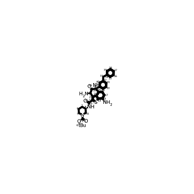 CC(C)(C)OC(=O)N1CCC[C@@H](NC(=O)c2sc3c(N)ccc4c3c2[C@@H](N)C(=O)[C@@]4(N)c2cccc(Cc3ccccc3)c2)C1